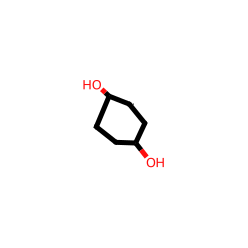 OC1[CH]CC(O)CC1